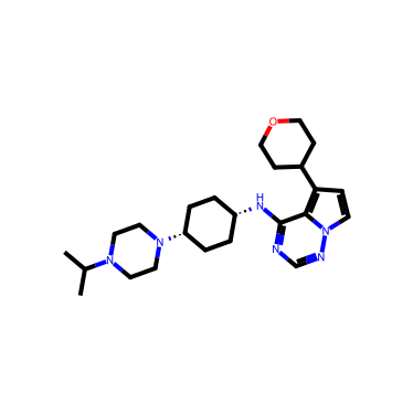 CC(C)N1CCN([C@H]2CC[C@@H](Nc3ncnn4ccc(C5CCOCC5)c34)CC2)CC1